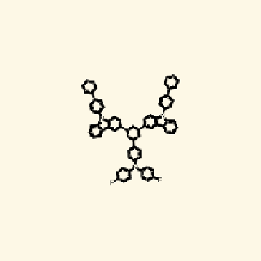 Fc1ccc(N(c2ccc(F)cc2)c2ccc(-c3cc(-c4ccc5c(c4)c4ccccc4n5-c4ccc(-c5ccccc5)cc4)cc(-c4ccc5c(c4)c4ccccc4n5-c4ccc(-c5ccccc5)cc4)c3)cc2)cc1